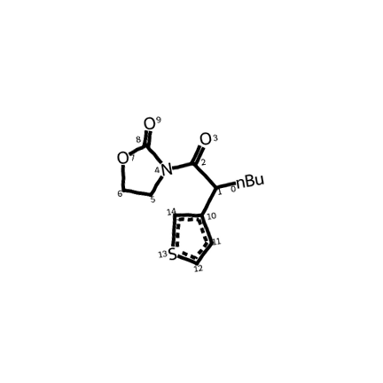 CCCCC(C(=O)N1CCOC1=O)c1ccsc1